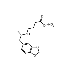 CC(Cc1ccc2c(c1)OCO2)NCCCC(=O)O[N+](=O)[O-]